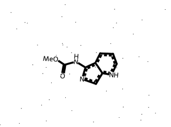 COC(=O)Nc1ncc2[nH]cccc1-2